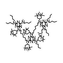 CCCCN(C)c1nc(N(CCCC)CCCC)nc(N(CCCCCCN(c2nc(N(CCCC)C3CC(C)(C)N(C)C(C)(C)C3)nc(N(CCCCCCN(c3nc(N(CCCC)CCCC)nc(N(CCCC)CCCC)n3)C3CC(C)(C)N(C)C(C)(C)C3)C3CC(C)(C)N(C)C(C)(C)C3)n2)C2CC(C)(C)N(C)C(C)(C)C2)C2CC(C)(C)N(C)C(C)(C)C2)n1